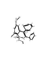 CCOP1(=O)OC(c2ccccc2)=C(c2ccccc2)c2cc(OC)cc(C)c21